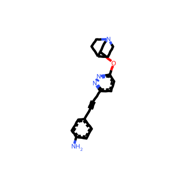 Nc1ccc(C#Cc2ccc(OC3CN4CCC3CC4)nn2)cc1